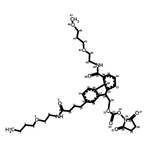 CCCCOCCNC(=O)CCCc1ccc2c(c1)C(COC(=O)ON1C(=O)CCC1=O)c1cccc(C(=O)NCCOCCCOC)c1-2